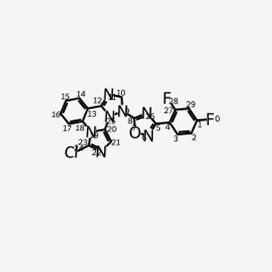 Fc1ccc(-c2noc(N3CN=C4c5ccccc5-n5c(cnc5Cl)N43)n2)c(F)c1